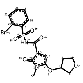 Cn1c(OC2CCOC2)nn(C(=O)NS(=O)(=O)c2ccccc2Br)c1=O